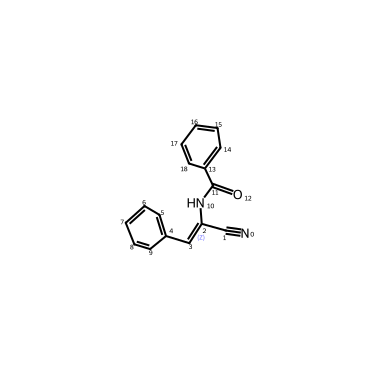 N#C/C(=C/c1ccccc1)NC(=O)c1ccccc1